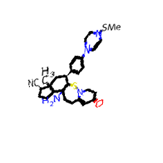 CSN1C=CN(c2ccc([C@@H]3C[C@]4(C)C(CC[C@@H]4C#N)[C@@]4(N)CCC5=CC(=O)CCN5SC34)cc2)CC1